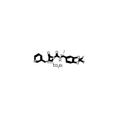 CCOC(=O)[C@@H]1[C@@H](Cc2cccnc2)C(=O)N1C(=O)N[C@H](C)c1ccc2c(c1)OC(F)(F)O2